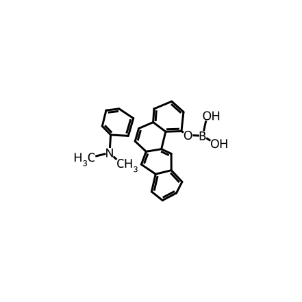 CN(C)c1ccccc1.OB(O)Oc1cccc2ccc3cc4ccccc4cc3c12